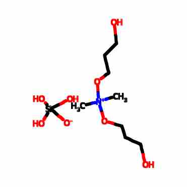 C[N+](C)(OCCCO)OCCCO.[O-][Si](O)(O)O